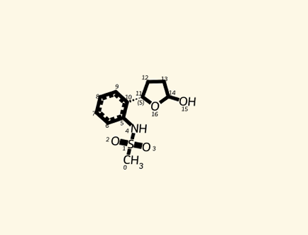 CS(=O)(=O)Nc1ccccc1[C@@H]1CCC(O)O1